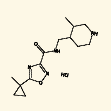 CC1CNCCC1CNC(=O)c1noc(C2(C)CC2)n1.Cl